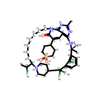 Cc1nc2c3cc(C4CCS(=O)(=O)CC4)c(=O)n(c3n1)CCCCCCCC(C(C)F)N1CCC(CC1)C(F)(F)c1cccc(c1F)[C@@H](C)N2